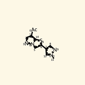 CC(=O)c1cnn2cc(-c3cnn(C)c3)sc12